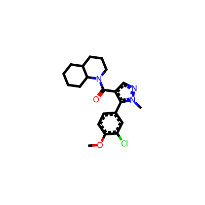 COc1ccc(-c2c(C(=O)N3CCCC4CCCCC43)cnn2C)cc1Cl